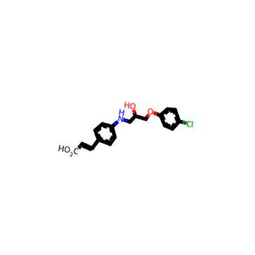 O=C(O)C=Cc1ccc(NCC(O)COc2ccc(Cl)cc2)cc1